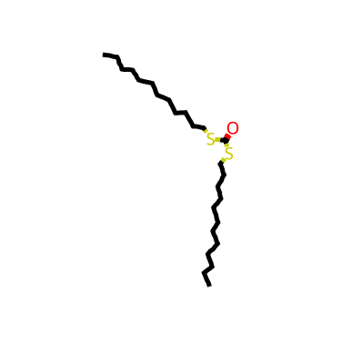 CCCCCCCCCCCCSC(=O)SCCCCCCCCCCCC